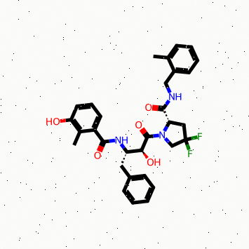 Cc1ccccc1CNC(=O)[C@@H]1CC(F)(F)CN1C(=O)[C@@H](O)[C@H](Cc1ccccc1)NC(=O)c1cccc(O)c1C